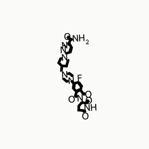 NC(=O)c1ccc(N2CCC(CN3CCN(c4cc5c(cc4F)C(=O)N(C4CCC(=O)NC4=O)C5=O)CC3)CC2)nn1